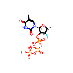 Cc1cn([C@@H]2O[C@H](C)[C@@H](F)C2OP(=O)(O)OP(=O)(O)OP(=O)(O)O)c(=O)[nH]c1=O